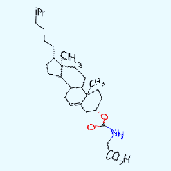 CC(C)CCCC[C@H]1CCC2C3CC=C4C[C@@H](OC(=O)NCC(=O)O)CCC4(C)C3CC[C@@]21C